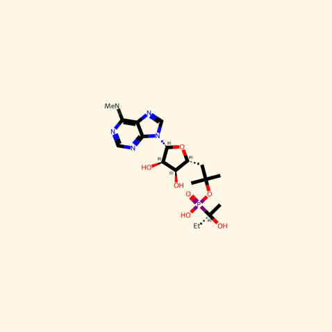 CC[C@](C)(O)P(=O)(O)OC(C)(C)C[C@H]1O[C@@H](n2cnc3c(NC)ncnc32)[C@H](O)[C@@H]1O